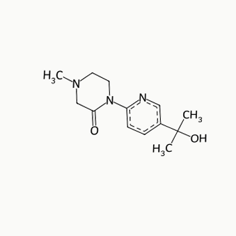 CN1CCN(c2ccc(C(C)(C)O)cn2)C(=O)C1